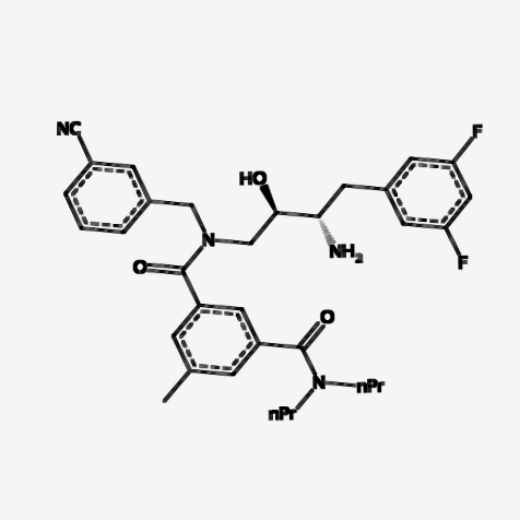 CCCN(CCC)C(=O)c1cc(C)cc(C(=O)N(Cc2cccc(C#N)c2)C[C@@H](O)[C@@H](N)Cc2cc(F)cc(F)c2)c1